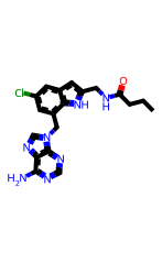 CCCC(=O)NCc1cc2cc(Cl)cc(Cn3cnc4c(N)ncnc43)c2[nH]1